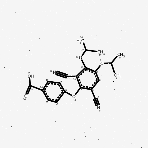 CC(C)Oc1cc(C#N)c(Oc2ccc(C(=O)O)cc2)c(C#N)c1OC(C)C